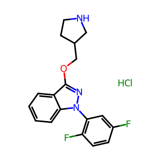 Cl.Fc1ccc(F)c(-n2nc(OCC3CCNC3)c3ccccc32)c1